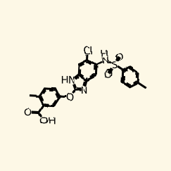 Cc1ccc(S(=O)(=O)Nc2cc3nc(Oc4ccc(C)c(C(=O)O)c4)[nH]c3cc2Cl)cc1